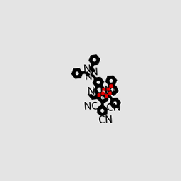 N#Cc1cc(C#N)c(-c2ccc3c(c2)c2ccccc2n3-c2ccc(-c3nc(-c4ccccc4)nc(-c4ccccc4)n3)cc2-c2ncccc2-c2nc(-c3ccccc3)nc(-c3ccccc3)n2)c(C#N)c1